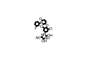 N#CC1=NN(c2cc(Cl)c(Oc3ccc(=O)n(-c4cccc(F)c4)c3)c(Cl)c2)C(O)NC1O